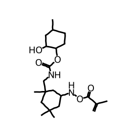 C=C(C)C(=O)ONC1CC(C)(C)CC(C)(CNC(=O)OC2CCC(C)CC2O)C1